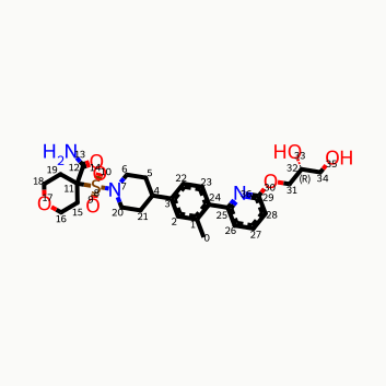 Cc1cc(C2CCN(S(=O)(=O)C3(C(N)=O)CCOCC3)CC2)ccc1-c1cccc(OC[C@H](O)CO)n1